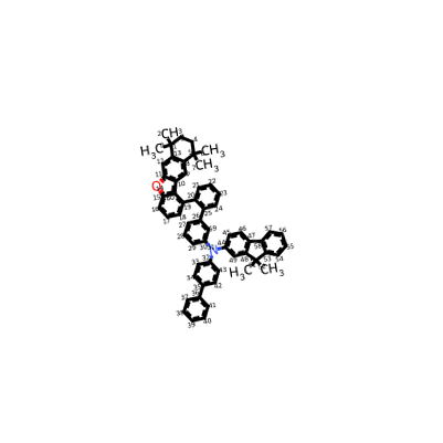 CC1(C)CCC(C)(C)c2cc3c(cc21)oc1cccc(-c2ccccc2-c2cccc(N(c4ccc(-c5ccccc5)cc4)c4ccc5c(c4)C(C)(C)c4ccccc4-5)c2)c13